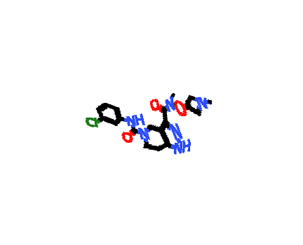 CN1CC(ON(C)C(=O)c2n[nH]c3c2CN(C(=O)Nc2cccc(Cl)c2)CC3)C1